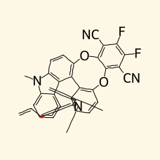 C=C/C=c1\c(=C)c2c3c(ccc2n1C)oc1c(C#N)c(F)c(F)c(C#N)c1oc1ccc2c(c4c(n2C)=CC=C=C=4)c13